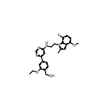 CCOc1cc(-c2cc(NCCn3c(C)cc4c(OC)ccc(F)c43)ncn2)ccc1CO